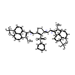 CCCCn1/c(=C/C=C2\CCC(/C=C/C3=[N+](CCCC)c4ccc5c6c(ccc3c46)C(C)(C)O5)=C2S(=O)(=O)c2ccccc2)c2ccc3c4c(ccc1c42)OC3(C)C